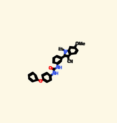 CCn1c(-c2cccc(NC(=O)Nc3ccc(Oc4ccccc4)cc3)c2)c(C#N)c2ccc(OC)cc21